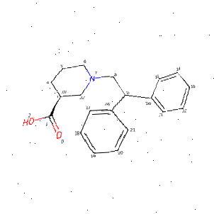 O=C(O)[C@H]1CCCN(CC(c2ccccc2)c2ccccc2)C1